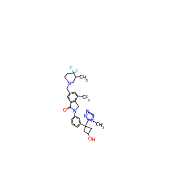 CC1CN(Cc2cc3c(c(C(F)(F)F)c2)CN(c2cccc(C4(c5nncn5C)CC(O)C4)c2)C3=O)CCC1(F)F